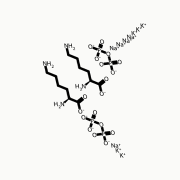 NCCCC[C@H](N)C(=O)[O-].NCCCC[C@H](N)C(=O)[O-].O=P([O-])([O-])OP(=O)([O-])[O-].O=P([O-])([O-])OP(=O)([O-])[O-].[K+].[K+].[K+].[K+].[K+].[Na+].[Na+].[Na+].[Na+].[Na+]